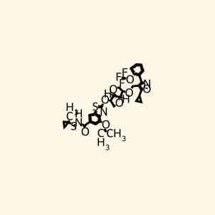 CC(C)Oc1cc(C(=O)NSC2(C)CC2)cc2sc(OC3CO[C@@H]4C(OCc5c(-c6ccccc6OC(F)(F)F)noc5C5CC5)CO[C@H]34)nc12